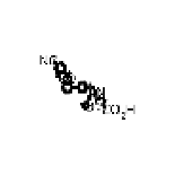 CC1(c2ccc(C#N)cc2F)Oc2cccc(C3=CCN(Cc4nc5cc(C(=O)O)sc5n4C[C@@H]4CCO4)CC3)c2O1